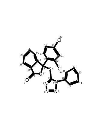 O=C1OC(Sc2nnnn2-c2ccccc2)(c2ccc(Cl)cc2Cl)c2ccccc21